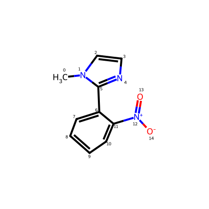 Cn1ccnc1-c1ccccc1[N+](=O)[O-]